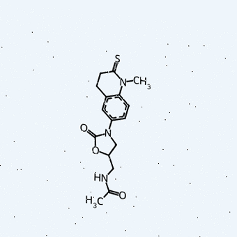 CC(=O)NCC1CN(c2ccc3c(c2)CCC(=S)N3C)C(=O)O1